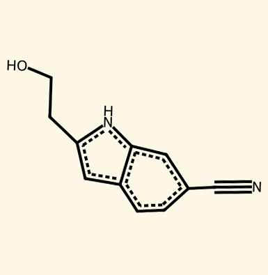 N#Cc1ccc2cc(CCO)[nH]c2c1